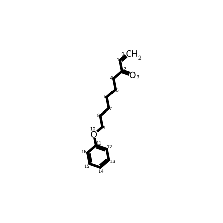 C=CC(=O)CCCCCCOc1ccccc1